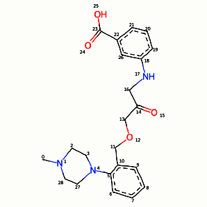 CN1CCN(c2ccccc2COCC(=O)CNc2cccc(C(=O)O)c2)CC1